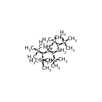 C[Si](C)(C)P([SiH2]P([Si](C)(C)C)[Si](C)(C)C)[SiH2]P([Si](C)(C)C)[Si](C)(C)C